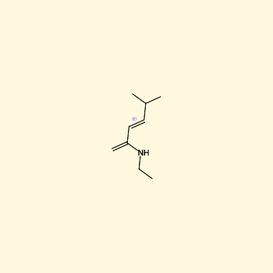 C=C(/C=C/C(C)C)NCC